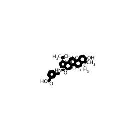 C=C(C)[C@@H]1CC[C@]2(C(=O)NCc3cccc(C(=O)O)c3)CC[C@]3(C)C(CCC4[C@@]5(C)CC[C@H](O)C(C)(C)C5CC[C@]43C)C12